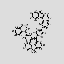 CC1(C)c2ccccc2-c2c(N(c3ccc(-c4ccc5ccc6oc7ccccc7c6c5c4)cc3)c3cccc(-c4cccc5ccccc45)c3)cccc21